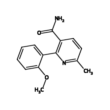 COc1ccccc1-c1nc(C)ccc1C(N)=O